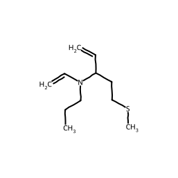 C=CC(CCSC)N(C=C)CCC